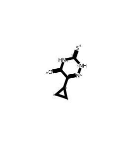 O=c1[nH]c(=S)[nH]nc1C1CC1